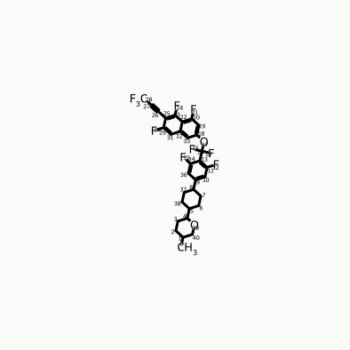 CC1CCC(C2CCC(c3cc(F)c(C(F)(F)Oc4cc(F)c5c(F)c(C#CC(F)(F)F)c(F)cc5c4)c(F)c3)CC2)OC1